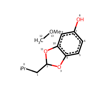 CC(C)CC1Oc2ccc(O)cc2O1.COC